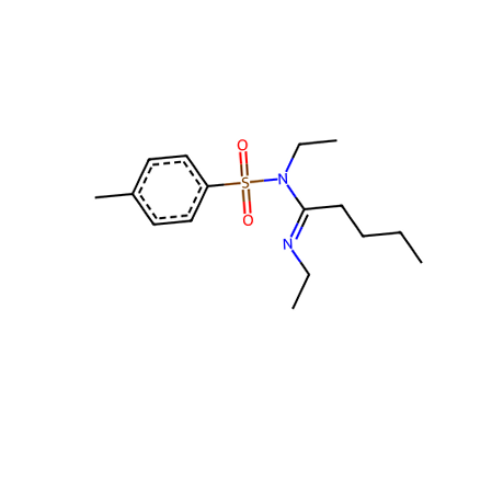 CCCCC(=NCC)N(CC)S(=O)(=O)c1ccc(C)cc1